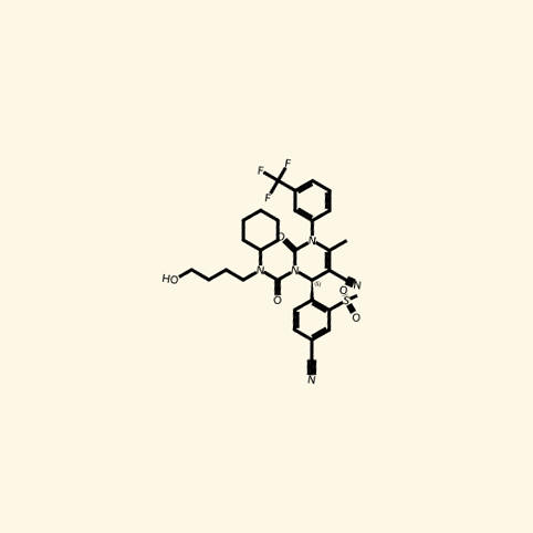 CC1=C(C#N)[C@@H](c2ccc(C#N)cc2S(C)(=O)=O)N(C(=O)N(CCCCO)C2CCCCC2)C(=O)N1c1cccc(C(F)(F)F)c1